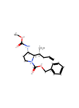 C=CC[C@@H](C(=O)O)[C@@H]1[C@@H](NC(=O)OC(C)(C)C)CCN1C(=O)OCc1ccccc1